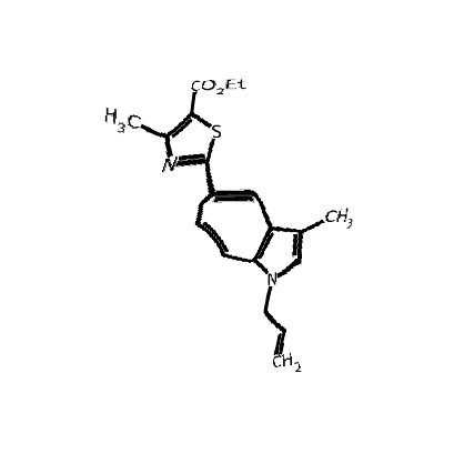 C=CCn1cc(C)c2cc(-c3nc(C)c(C(=O)OCC)s3)ccc21